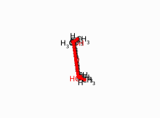 CCCCC(O)(CCCCCCCCCCCOCCCCCCCCCCCC(O)(CCCC)[SiH](C)C)[SiH](C)C